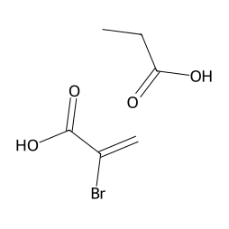 C=C(Br)C(=O)O.CCC(=O)O